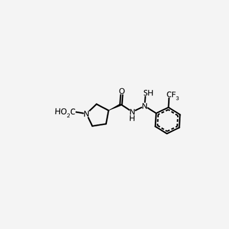 O=C(NN(S)c1ccccc1C(F)(F)F)[C@H]1CCN(C(=O)O)C1